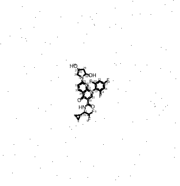 O=C(N[C@H](C(F)F)C1CC1)c1cn(-c2c(F)cc(F)cc2F)c2nc(N3C[C@@H](O)CC3O)ccc2c1=O